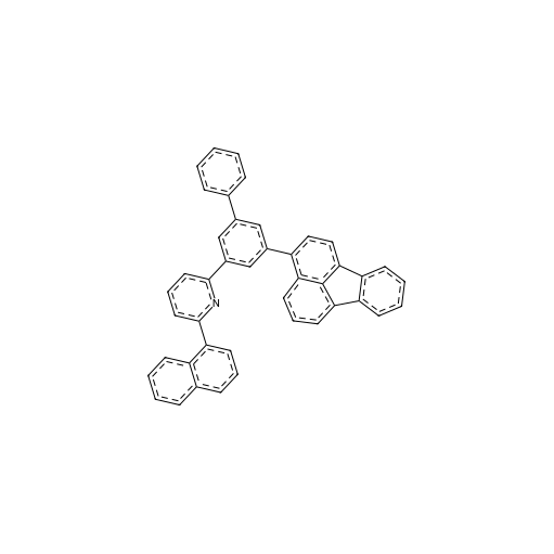 c1ccc(-c2cc(-c3cccc(-c4cccc5ccccc45)n3)cc(-c3ccc4c5c(cccc35)-c3ccccc3-4)c2)cc1